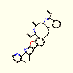 C=CC1=NC2CC(=C)/N=C(/C=C)c3c(ccc4c3oc3nc(-c5ncccc5C)c(C)cc34)CCC2c2ccccc21